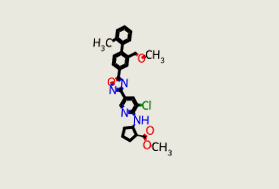 COCc1cc(-c2nc(-c3cnc(N[C@@H]4CCC[C@@H]4C(=O)OC)c(Cl)c3)no2)ccc1-c1ccccc1C